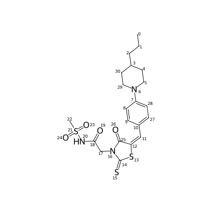 CCCC1CCN(c2ccc(C=C3SC(=S)N(CC(=O)NS(C)(=O)=O)C3=O)cc2)CC1